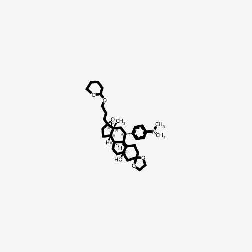 CN(C)c1ccc([C@H]2C[C@]3(C)[C@@H](CC[C@]3(O)CCCOC3CCCCO3)[C@@H]3CC[C@@]4(O)CC5(CCC4=C32)OCCO5)cc1